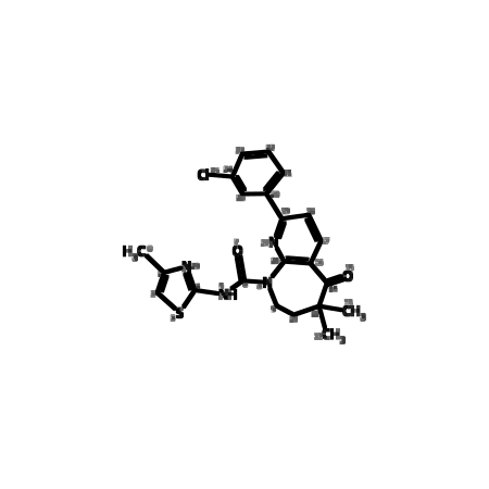 Cc1csc(NC(=O)N2CCC(C)(C)C(=O)c3ccc(-c4cccc(Cl)c4)nc32)n1